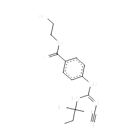 CCC(C)(C)N/C(=N\C#N)Nc1ccc(C(=O)NCCO)cc1